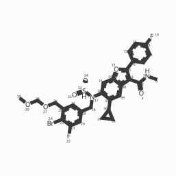 CNC(=O)c1c(-c2ccc(F)cc2)oc2cc(N(Cc3cc(F)c(Br)c(COCOC)c3)[SH](=O)=O)c(C3CC3)cc12